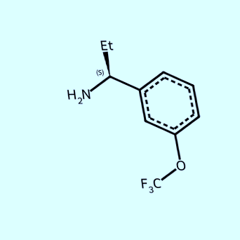 CC[C@H](N)c1cccc(OC(F)(F)F)c1